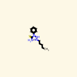 CCCCCNNN(C(N)=S)c1ccccc1